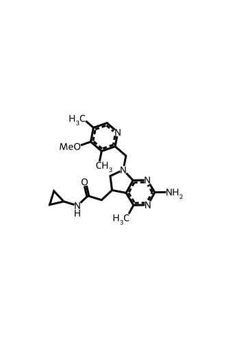 COc1c(C)cnc(CN2CC(CC(=O)NC3CC3)c3c(C)nc(N)nc32)c1C